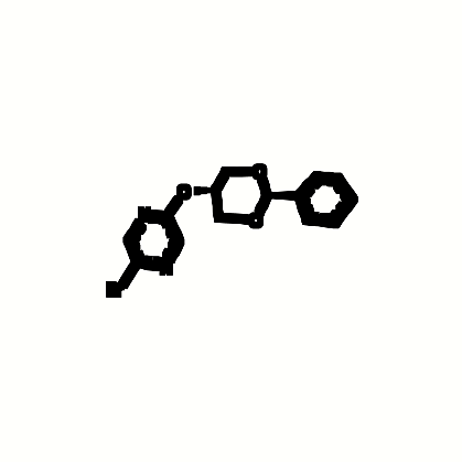 Brc1cnc(O[C@H]2CO[C@H](c3ccccc3)OC2)cn1